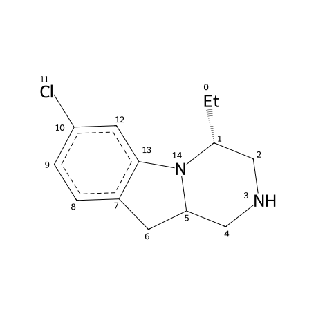 CC[C@@H]1CNCC2Cc3ccc(Cl)cc3N21